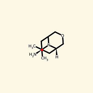 CC(C)N1C2COC[C@@H]1C[C@@H](N)C2